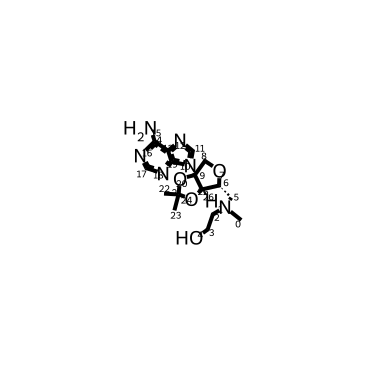 CN(CCO)C[C@H]1OC[C@@]2(n3cnc4c(N)ncnc43)OC(C)(C)O[C@H]12